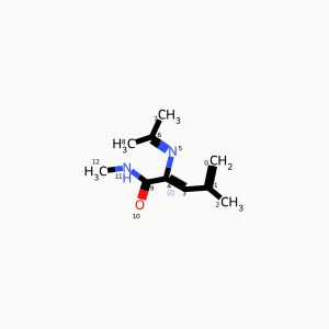 C=C(C)/C=C(\N=C(C)C)C(=O)NC